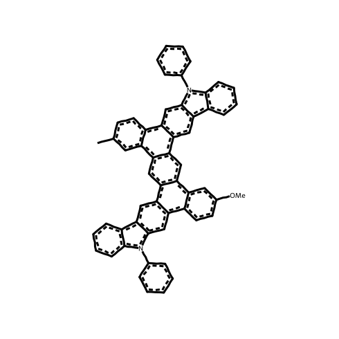 COc1ccc2c(c1)c1cc3c(cc1c1cc4c5ccccc5n(-c5ccccc5)c4cc21)c1cc(C)ccc1c1cc2c(cc31)c1ccccc1n2-c1ccccc1